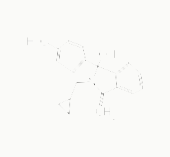 C=C1c2ccccc2C(O)(c2ccc(C)cc2)N1CC1CC1